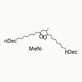 CCCCCCCCCCCCCCCCCC(=O)CC(C)C(=O)CCCCCCCCCCCCCCCCC.CNC